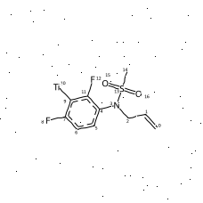 C=CCN(c1ccc(F)[c]([Ti])c1F)S(C)(=O)=O